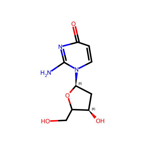 Nc1nc(=O)ccn1[C@H]1C[C@@H](O)C(CO)O1